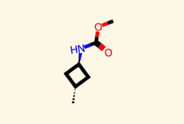 COC(=O)N[C@H]1C[C@H](C)C1